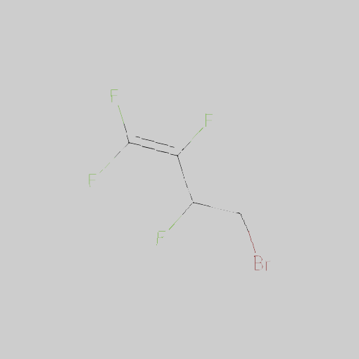 FC(F)=C(F)C(F)CBr